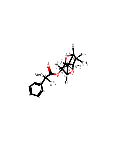 COC(C(=O)O[C@@H]1[C@H]2O[C@H]3[C@@H](C)[C@@H]1O[C@@H]2[C@H]3C)(c1ccccc1)C(F)(F)F